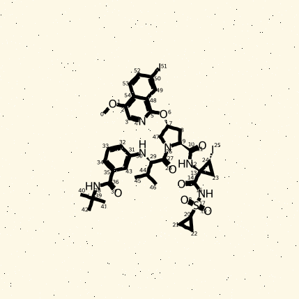 COc1cnc(O[C@@H]2C[C@@H](C(=O)N[C@]3(C(=O)NS(=O)(=O)C4CC4)C[C@H]3I)N(C(=O)[C@@H](Nc3cccc(C(=O)NC(C)(C)C)c3)C(C)C)C2)c2cc(I)ccc12